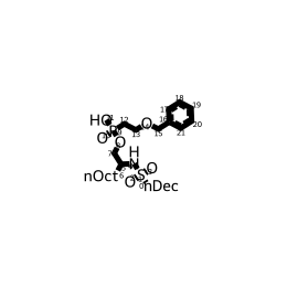 CCCCCCCCCCS(=O)(=O)NC(CCCCCCCC)COP(=O)(O)CCOCc1ccccc1